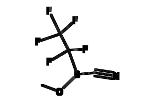 COB(C#N)C(F)(F)C(F)(F)F